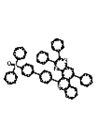 O=P(c1ccccc1)(c1ccccc1)c1ccc(-c2ccc(-c3nc4ccccc4c4c(-c5ccccc5)cc5nc(-c6ccccc6)c(-c6ccccc6)nc5c34)cc2)cc1